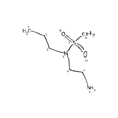 CCCN(CCN)S(C)(=O)=O